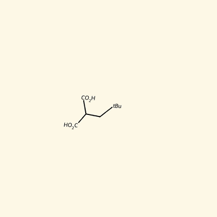 CC(C)(C)CC(C(=O)O)C(=O)O